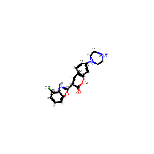 O=c1oc2cc(N3CCNCC3)ccc2cc1-c1nc2c(Cl)cccc2o1